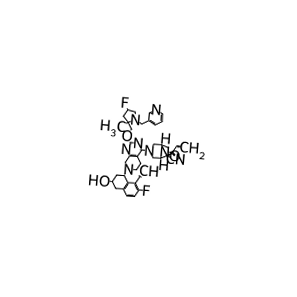 C#Cc1c(F)ccc2c1[C@@H](N1CCc3c(nc(OC[C@]4(C)C[C@@H](F)CN4Cc4cccnc4)nc3N3C[C@H]4CC(C#N)[C@@H](C3)N4C(=O)C=C)C1)C[C@H](O)C2